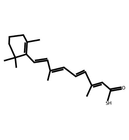 CC1=C(/C=C/C(C)=C/C=C/C(C)=C/C(=O)S)C(C)(C)CCC1